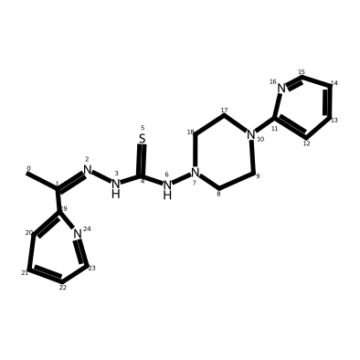 CC(=NNC(=S)NN1CCN(c2ccccn2)CC1)c1ccccn1